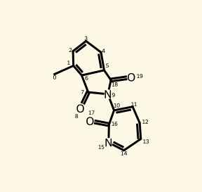 Cc1cccc2c1C(=O)N(c1ccccnc1=O)C2=O